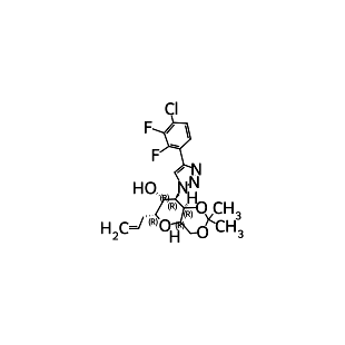 C=CC[C@H]1O[C@@H]2COC(C)(C)O[C@@H]2[C@H](n2cc(-c3ccc(Cl)c(F)c3F)nn2)[C@H]1O